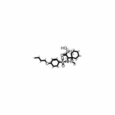 CCCCOC1C=CC(S(=O)(=O)NC(C(=O)NO)C2(SC)CCCCC2)CC1